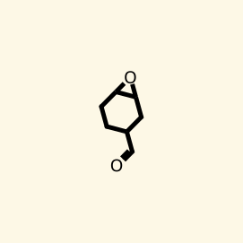 O=CC1CCC2OC2C1